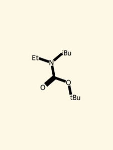 CCC(C)N(CC)C(=O)OC(C)(C)C